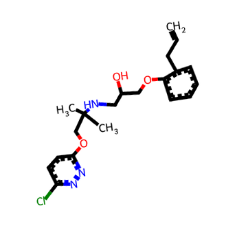 C=CCc1ccccc1OCC(O)CNC(C)(C)COc1ccc(Cl)nn1